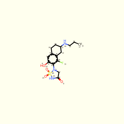 O=C1CN(c2c(O)cc3c(c2F)CC(NCCC(F)(F)F)CC3)S(=O)(=O)N1